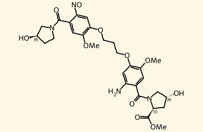 COC(=O)[C@@H]1C[C@@H](O)CN1C(=O)c1cc(OC)c(OCCCOc2cc(N=O)c(C(=O)N3CC[C@@H](O)C3)cc2OC)cc1N